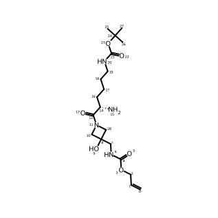 C=CCOC(=O)NCC1(O)CN(C(=O)[C@@H](N)CCCCNC(=O)OC(C)(C)C)C1